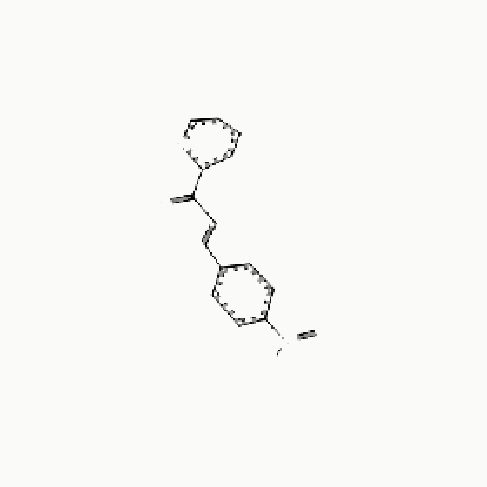 O=C(C=Cc1ccc([N+](=O)[O-])cc1)c1ccccn1